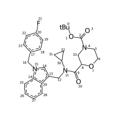 CC(C)(C)OC(=O)N1CCOC(C(=O)N(Cc2cn(Cc3ccc(F)cc3)c3ccccc23)C2CC2)C1